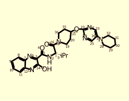 CC(C)[C@H](NC(=O)c1nc2ccccc2nc1O)C(=O)N1CCC(Oc2ncc(N3CCCCC3)cn2)CC1